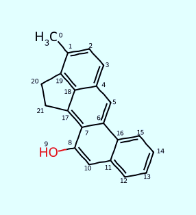 Cc1ccc2cc3c(c(O)cc4ccccc43)c3c2c1CC3